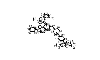 CC(C)(C)CC(=O)c1nc(CC2CCN(c3ccc(C(C)(C)C)cc3)CC2)nc(O)c1OCc1ccccc1